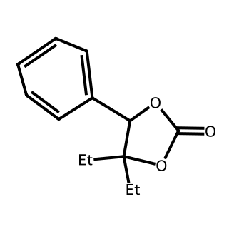 CCC1(CC)OC(=O)OC1c1ccccc1